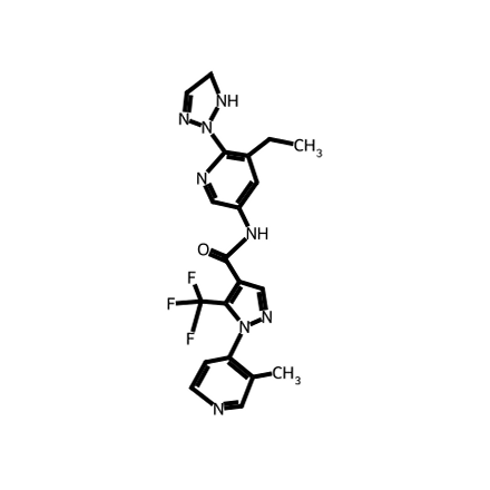 CCc1cc(NC(=O)c2cnn(-c3ccncc3C)c2C(F)(F)F)cnc1N1N=CCN1